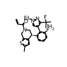 C=CC(=O)N1Cc2sc(C)cc2[C@H](c2cccc(F)c2-c2cn(CC)nc2C(C)(F)P)C1